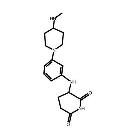 CNC1CCN(c2cccc(NC3CCC(=O)NC3=O)c2)CC1